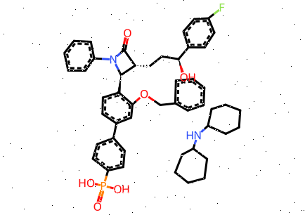 C1CCC(NC2CCCCC2)CC1.O=C1[C@H](CC[C@H](O)c2ccc(F)cc2)[C@@H](c2ccc(-c3ccc(P(=O)(O)O)cc3)cc2OCc2ccccc2)N1c1ccccc1